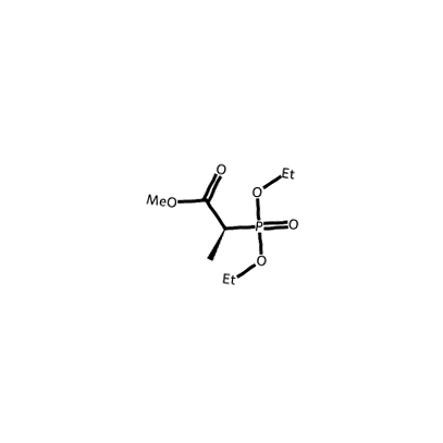 CCOP(=O)(OCC)[C@@H](C)C(=O)OC